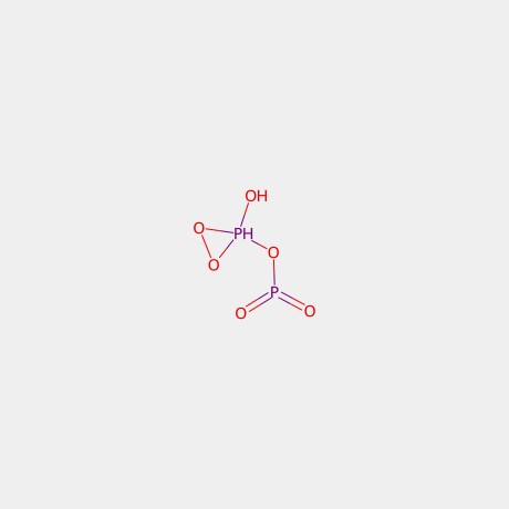 O=P(=O)O[PH]1(O)OO1